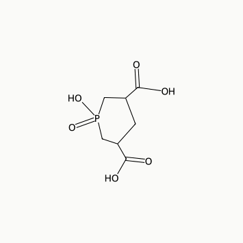 O=C(O)C1CC(C(=O)O)CP(=O)(O)C1